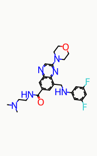 CN(C)CCNC(=O)c1cc(CNc2cc(F)cc(F)c2)c2nc(N3CCOCC3)cnc2c1